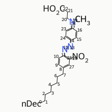 CCCCCCCCCCCCCCCCCc1ccc(N=Nc2ccc(N(C)CCC(=O)O)cc2)c([N+](=O)[O-])c1